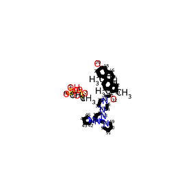 CS(=O)(=O)O.CS(=O)(=O)O.C[C@@H]1C[C@H]2[C@@H]3CCC4=CC(=O)C=C[C@]4(C)C3=CC[C@]2(C)[C@H]1C(=O)CN1CCN(c2cc(N3CCCC3)nc(N3CCCC3)n2)CC1